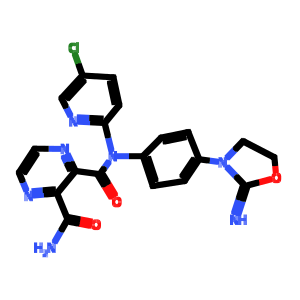 N=C1OCCN1c1ccc(N(C(=O)c2nccnc2C(N)=O)c2ccc(Cl)cn2)cc1